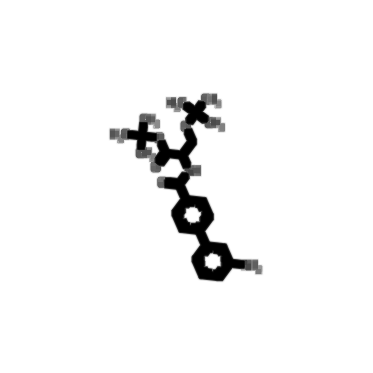 CC(C)(C)OCC(NC(=O)c1ccc(-c2cccc(N)c2)cc1)C(=O)OC(C)(C)C